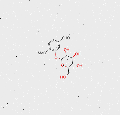 COc1ccc(C=O)cc1OC1O[C@H](CO)[C@@H](O)[C@H](O)[C@H]1O